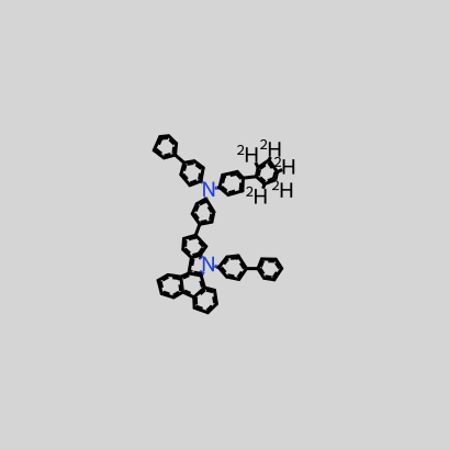 [2H]c1c([2H])c([2H])c(-c2ccc(N(c3ccc(-c4ccccc4)cc3)c3ccc(-c4ccc5c6c7ccccc7c7ccccc7c6n(-c6ccc(-c7ccccc7)cc6)c5c4)cc3)cc2)c([2H])c1[2H]